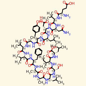 CC[C@H](C)[C@H](NC(=O)[C@H](CO)NC(=O)[C@H](CC(C)C)NC(=O)[C@H](C)NC(=O)[C@H](C)NC(=O)[C@H](Cc1ccccc1)NC(=O)[C@@H](NC(=O)[C@@H](NC(=O)[C@H](C)NC(=O)[C@H](Cc1ccc(O)cc1)NC(=O)[C@H](CC(C)C)NC(=O)[C@H](CC(=O)O)NC(=O)[C@H](CC(N)=O)NC(=O)[C@@H](NC(=O)[C@@H](N)CCC(=O)O)C(C)C)C(C)C)C(C)C)C(=O)N[C@@H](CC(C)C)C(=O)O